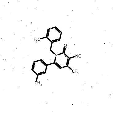 [C-]#[N+]c1c(C(F)(F)F)cc(-c2cccc(C)c2)n(Cc2ccccc2C(F)(F)F)c1=O